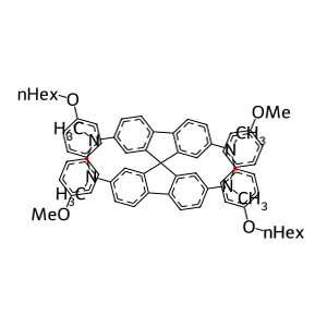 CCCCCCOc1ccc(N(C)c2ccc3c(c2)C2(c4cc(N(C)c5ccc(OC)cc5)ccc4-3)c3cc(N(C)c4ccc(OC)cc4)ccc3-c3ccc(N(C)c4ccc(OCCCCCC)cc4)cc32)cc1